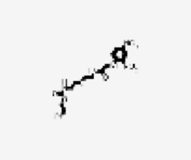 CC(C)CCOC(=O)NCCOCCNC(=O)CNc1ccc([N+](=O)[O-])cc1[N+](=O)[O-]